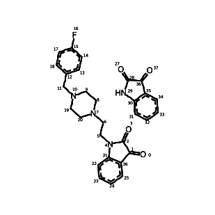 O=C1C(=O)N(CCN2CCN(Cc3ccc(F)cc3)CC2)c2ccccc21.O=C1Nc2ccccc2C1=O